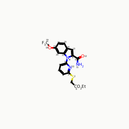 CCOC(=O)CSc1cccc(-n2c(C(N)=O)cc3ccc(OC(F)(F)F)cc32)n1